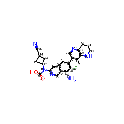 Cc1c(-c2cc3cc(N(C(=O)O)C4CC(C#N)C4)ncc3c(N)c2F)cnc2c1NCCC2